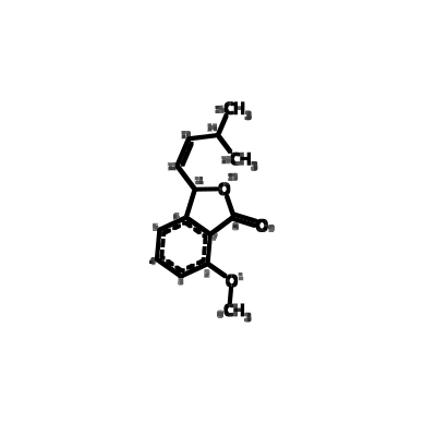 COc1cccc2c1C(=O)OC2/C=C\C(C)C